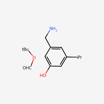 CC(C)(C)OC=O.CC(C)c1cc(O)cc(CN)c1